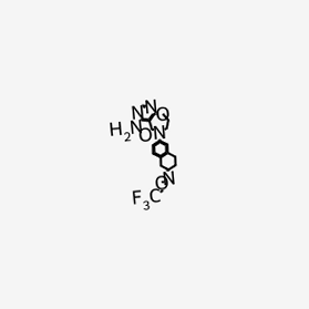 Nc1ncnc2c1C(=O)N(c1ccc3c(c1)CCC(=NOCC(F)(F)F)C3)CCO2